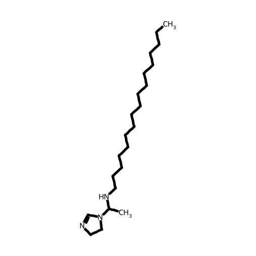 CCCCCCCCCCCCCCCCCNC(C)N1C=NCC1